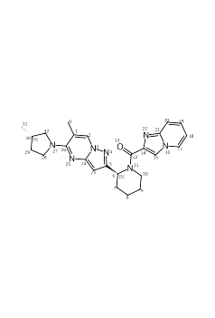 Cc1cn2nc([C@@H]3CCCCN3C(=O)c3cn4ccccc4n3)cc2nc1N1CC[C@H](C)C1